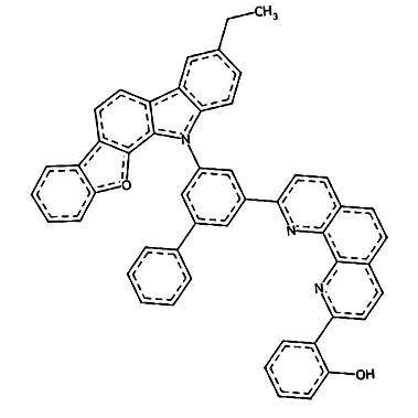 CCc1ccc2c(c1)c1ccc3c4ccccc4oc3c1n2-c1cc(-c2ccccc2)cc(-c2ccc3ccc4ccc(-c5ccccc5O)nc4c3n2)c1